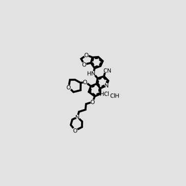 Cl.Cl.N#Cc1cnc2cc(OCCCN3CCOCC3)cc(OC3CCOCC3)c2c1Nc1cccc2c1OCO2